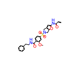 C=CC(=O)Nc1cc2c(o1)CN(S(=O)(=O)c1ccc(C(=O)NCCc3ccccc3)c(OC)c1)C2